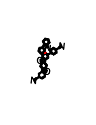 N#Cc1ccc(-c2ccc3oc4cc5c6c(oc5cc4c3c2)C=CC(C#N)C6)c(-n2c3ccccc3c3ccccc32)c1